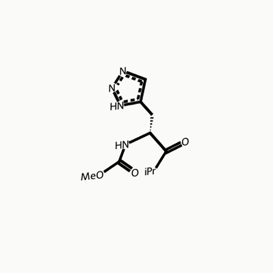 COC(=O)N[C@H](Cc1cnn[nH]1)C(=O)C(C)C